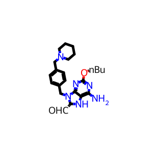 CCCCOc1nc(N)c2c(n1)N(Cc1ccc(CN3CCCCC3)cc1)C(C=O)N2